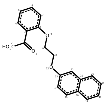 O=C(O)C(=O)c1ccccc1OCCOc1ccc2ccccc2c1